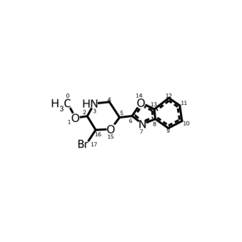 COC1NCC(c2nc3ccccc3o2)OC1Br